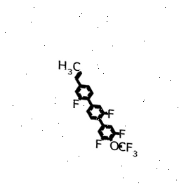 CC=Cc1ccc(-c2ccc(-c3cc(F)c(OC(F)(F)F)c(F)c3)c(F)c2)c(F)c1